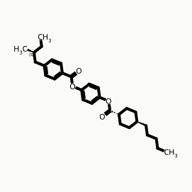 CCCCC[C@H]1CC[C@H](C(=O)Oc2ccc(OC(=O)c3ccc(C[C@@H](C)CC)cc3)cc2)CC1